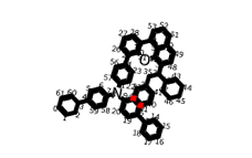 C1=CCC(c2ccc(N(c3ccc(-c4ccccc4)cc3)c3ccc(-c4cccc5c4Oc4c(C(Cc6ccccc6)C6=CCCCC6)ccc6cccc-5c46)cc3)cc2)C=C1